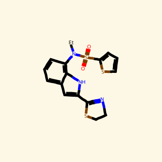 CCN(c1cccc2cc(C3=NC[CH]S3)[nH]c12)S(=O)(=O)c1cccs1